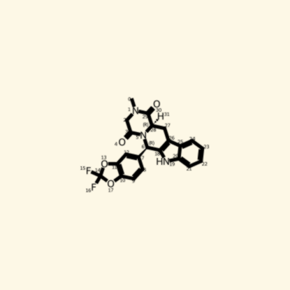 CN1CC(=O)N2[C@H](c3ccc4c(c3)OC(F)(F)O4)c3[nH]c4ccccc4c3C[C@@H]2C1=O